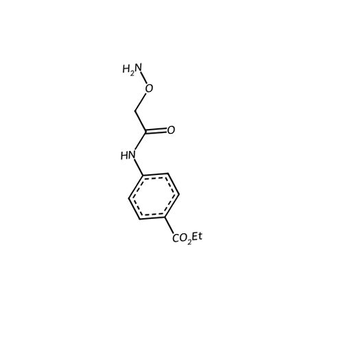 CCOC(=O)c1ccc(NC(=O)CON)cc1